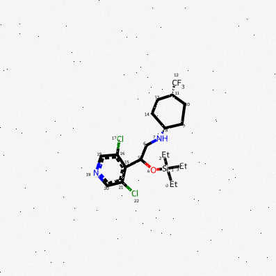 CC[Si](CC)(CC)OC(CN[C@H]1CC[C@@H](C(F)(F)F)CC1)c1c(Cl)cncc1Cl